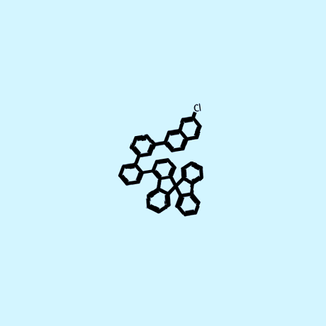 Clc1ccc2ccc(-c3cccc(-c4ccccc4-c4cccc5c4-c4ccccc4C54c5ccccc5-c5ccccc54)c3)cc2c1